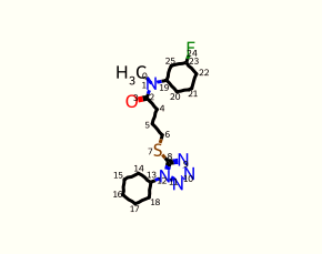 CN(C(=O)CCCSc1nnnn1C1CCCCC1)C1CCCC(F)C1